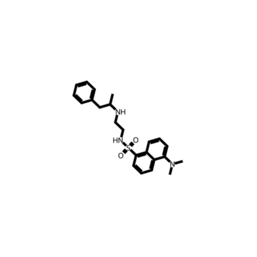 CC(Cc1ccccc1)NCCNS(=O)(=O)c1cccc2c(N(C)C)cccc12